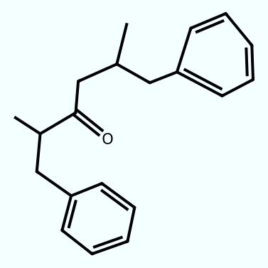 CC(CC(=O)C(C)Cc1ccccc1)Cc1ccccc1